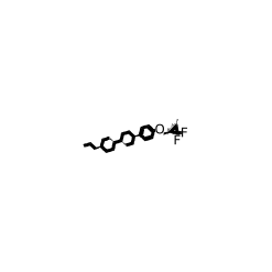 CCC[C@H]1CC[C@H]([C@H]2CC[C@H](c3ccc(OC[C@H]4[C@H](C)C4(F)F)cc3)CC2)CC1